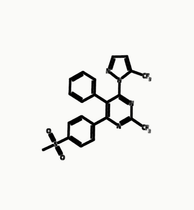 CS(=O)(=O)c1ccc(-c2nc(C(F)(F)F)nc(-n3nccc3C(F)(F)F)c2-c2ccccc2)cc1